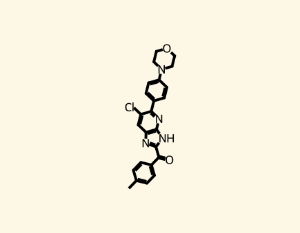 Cc1ccc(C(=O)c2nc3cc(Cl)c(-c4ccc(N5CCOCC5)cc4)nc3[nH]2)cc1